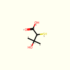 CC(C)(O)C(S)C(=O)O